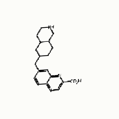 O=C(O)c1cnc2ccc(CC3CCC4CNCCC4C3)cc2n1